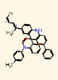 CC/C=C\C=C(/C)c1ccc2c(c1)C1(c3cc(-c4ccccc4)ccc3N2)c2ccccc2N(c2ccc(C)cc2)c2ccccc21